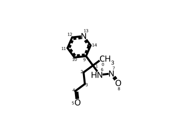 CC(CCC=O)(NN=O)c1cccnc1